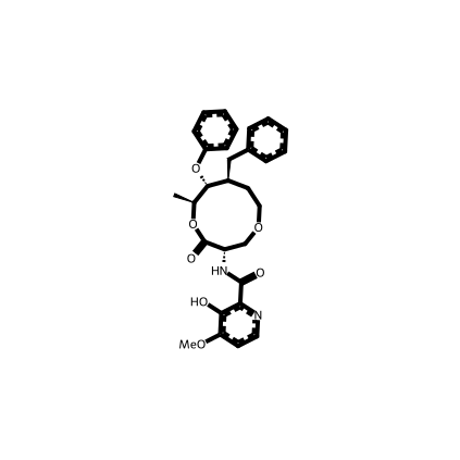 COc1ccnc(C(=O)N[C@H]2COCC[C@H](Cc3ccccc3)[C@@H](Oc3ccccc3)[C@H](C)OC2=O)c1O